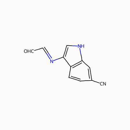 N#Cc1ccc2c(N=CC=O)c[nH]c2c1